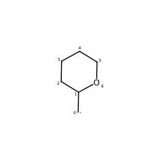 [CH2]C1CCCCO1